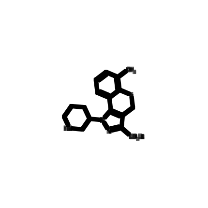 CCOC(=O)c1nn(C2CCCNC2)c2c1CSc1c(C)cccc1-2